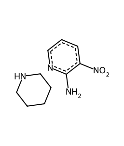 C1CCNCC1.Nc1ncccc1[N+](=O)[O-]